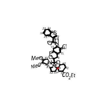 CCOC(=O)C1CCC(OC(C(=O)Cc2cc(Cl)c(NC(=O)c3csc4ccccc34)cc2F)(N2CCCC2)N2C[C@H](OC)[C@@H](OC)C2)CC1